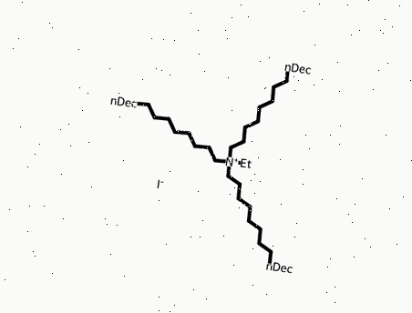 CCCCCCCCCCCCCCCCCC[N+](CC)(CCCCCCCCCCCCCCCCCC)CCCCCCCCCCCCCCCCCC.[I-]